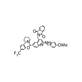 COc1ccc(CNc2cc(CN3C(=O)c4ccccc4C3=O)c3cc(C(=O)N4CCCCC4c4ccc(C(F)(F)F)cc4)ccc3n2)cc1